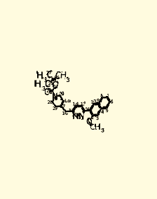 COc1cc2ccccc2cc1-c1ccc(CC2CCN(C(=O)OC(C)(C)C)CC2)nn1